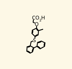 Cc1cc(SCc2ccccc2-c2ccccc2)ccc1OCC(=O)O